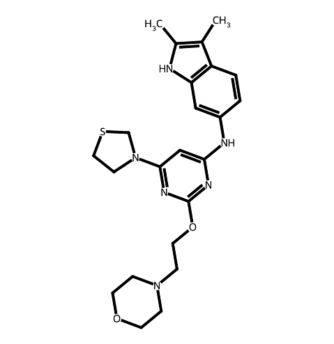 Cc1[nH]c2cc(Nc3cc(N4CCSC4)nc(OCCN4CCOCC4)n3)ccc2c1C